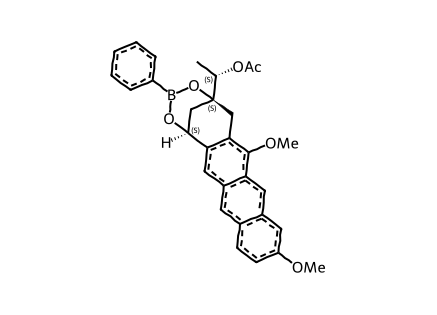 COc1ccc2cc3cc4c(c(OC)c3cc2c1)C[C@@]1([C@H](C)OC(C)=O)C[C@@H]4OB(c2ccccc2)O1